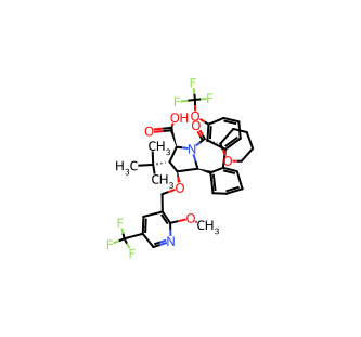 COc1ncc(C(F)(F)F)cc1CO[C@H]1[C@H](C(C)(C)C)[C@@H](C(=O)O)N(C(=O)[C@@H]2CCCCO2)[C@H]1c1ccccc1-c1cccc(OC(F)(F)F)c1